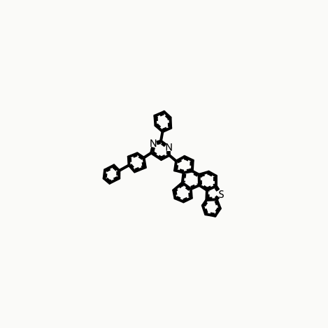 c1ccc(-c2ccc(-c3cc(-c4ccc5c(c4)c4ccccc4c4c5ccc5sc6ccccc6c54)nc(-c4ccccc4)n3)cc2)cc1